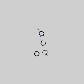 CCCc1ccc(Oc2ccnc(Nc3cccc(C(C)(C)C(=O)O)c3)c2)c(-c2ccccc2)n1